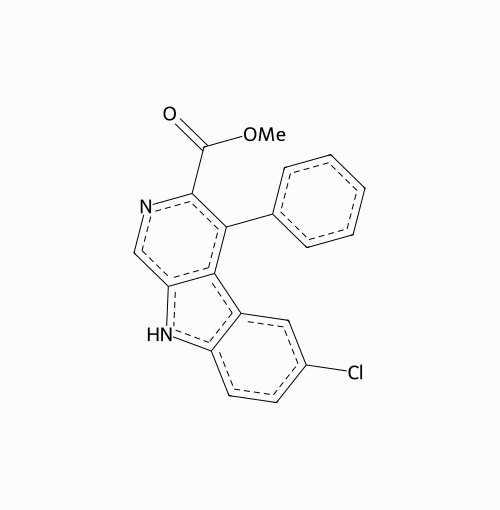 COC(=O)c1ncc2[nH]c3ccc(Cl)cc3c2c1-c1ccccc1